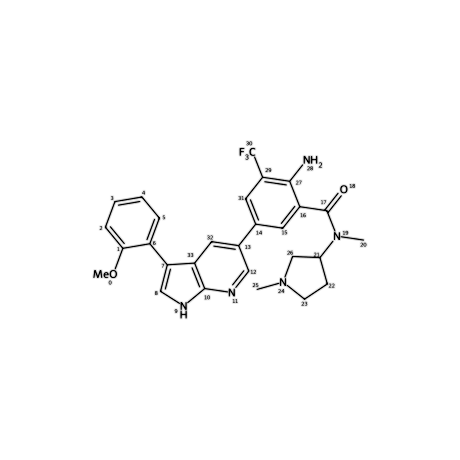 COc1ccccc1-c1c[nH]c2ncc(-c3cc(C(=O)N(C)C4CCN(C)C4)c(N)c(C(F)(F)F)c3)cc12